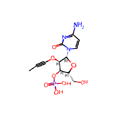 CC#CO[C@@H]1[C@H](OP(=O)(O)O)[C@@H](CO)O[C@H]1n1ccc(N)nc1=O